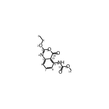 CCOc1nc2cccc(NC(=O)OC)c2c(=O)o1